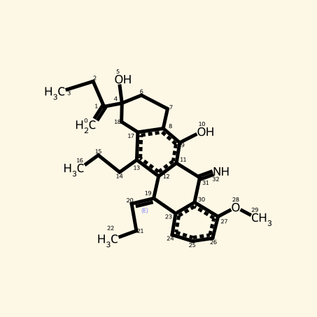 C=C(CC)C1(O)CCc2c(O)c3c(c(CCC)c2C1)/C(=C/CC)c1cccc(OC)c1C3=N